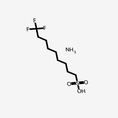 N.O=S(=O)(O)CCCCCCCCC(F)(F)F